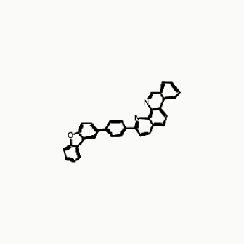 c1ccc2c(c1)cnc1c2ccc2ccc(-c3ccc(-c4ccc5oc6ccccc6c5c4)cc3)nc21